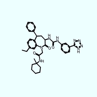 CCc1ccc2c(c1)N(CC(=O)NC1(C)CCCCC1)C(=O)C(NC(=O)Nc1cccc(-c3nnn[nH]3)c1)CC2c1ccccc1